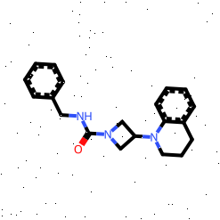 O=C(NCc1ccccc1)N1CC(N2CCCc3ccccc32)C1